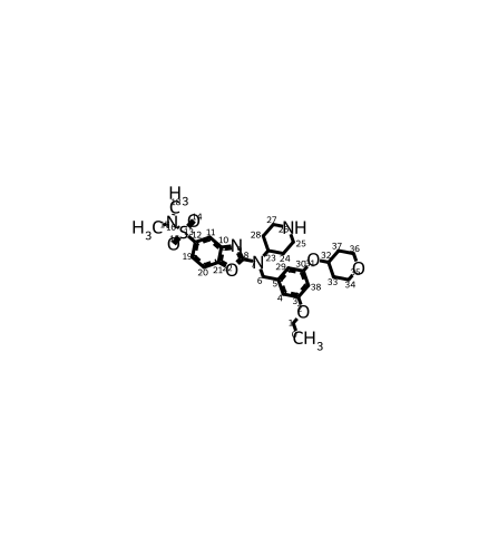 CCOc1cc(CN(c2nc3cc(S(=O)(=O)N(C)C)ccc3o2)C2CCNCC2)cc(OC2CCOCC2)c1